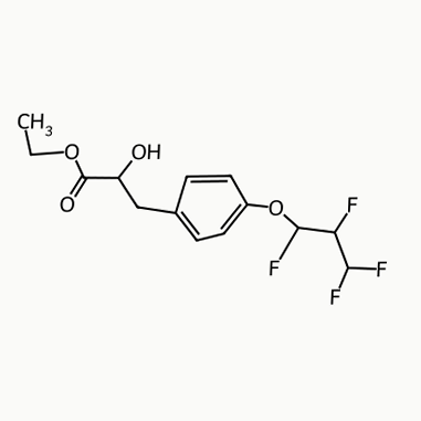 CCOC(=O)C(O)Cc1ccc(OC(F)C(F)C(F)F)cc1